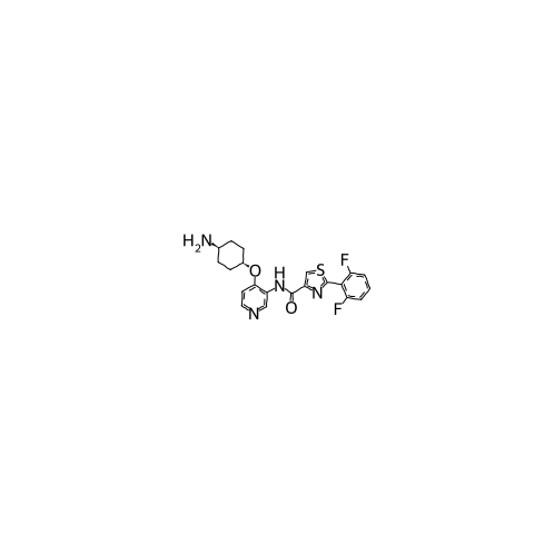 N[C@H]1CC[C@@H](Oc2ccncc2NC(=O)c2csc(-c3c(F)cccc3F)n2)CC1